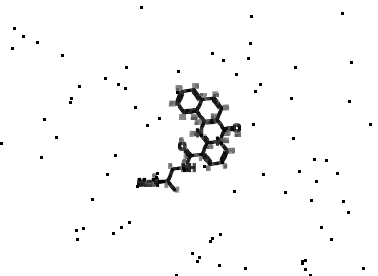 CN[C@H](C)CNC(=O)c1cccn2c(=O)c3ccc4ccccc4c3nc12